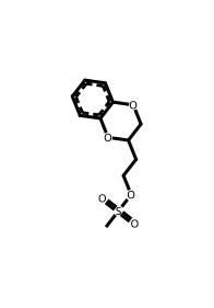 CS(=O)(=O)OCCC1COc2ccccc2O1